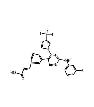 O=C(O)/C=C/c1cccc(-c2cnc(Nc3cccc(F)c3)nc2-n2ccc(C(F)(F)F)n2)c1